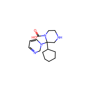 O=C(O)N1CCNCC1(C1CCCCC1)N1C=CC=NC1